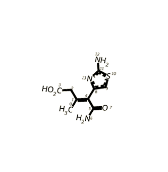 CC(CC(=O)O)=C(C(N)=O)c1csc(N)n1